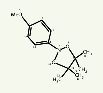 COc1ccc(N2OC(C)(C)C(C)(C)O2)cc1